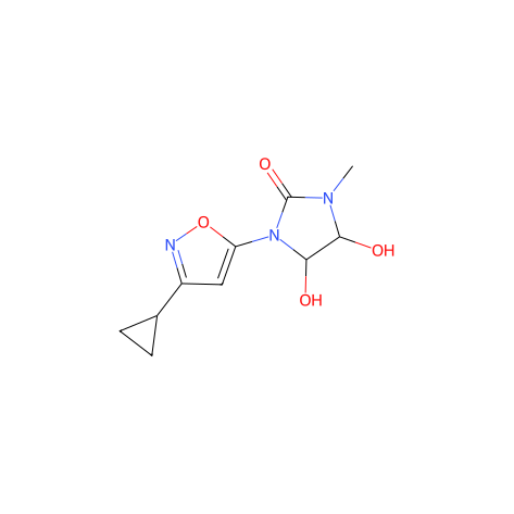 CN1C(=O)N(c2cc(C3CC3)no2)C(O)C1O